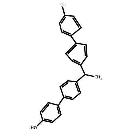 CC(c1ccc(-c2ccc(O)cc2)cc1)c1ccc(-c2ccc(O)cc2)cc1